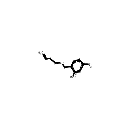 C=CCCOCc1ccc(Br)cc1Br